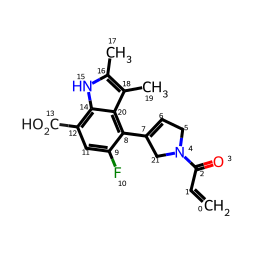 C=CC(=O)N1CC=C(c2c(F)cc(C(=O)O)c3[nH]c(C)c(C)c23)C1